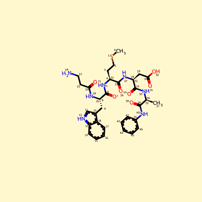 CSCC[C@H](NC(=O)[C@H](Cc1c[nH]c2ccccc12)NC(=O)CCN)C(=O)N[C@@H](CC(=O)O)C(=O)N[C@@H](C)C(=O)Nc1ccccc1